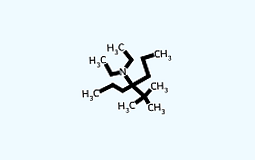 CCCC(CCC)(N(CC)CC)C(C)(C)C